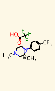 C[C@@H]1CN(C)CCN1c1ccc(C(F)(F)F)cc1.O=C(O)C(F)(F)F